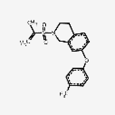 C=C(C)S(=O)(=O)N1CCc2ccc(Oc3ccc(C(F)(F)F)cc3)cc2C1